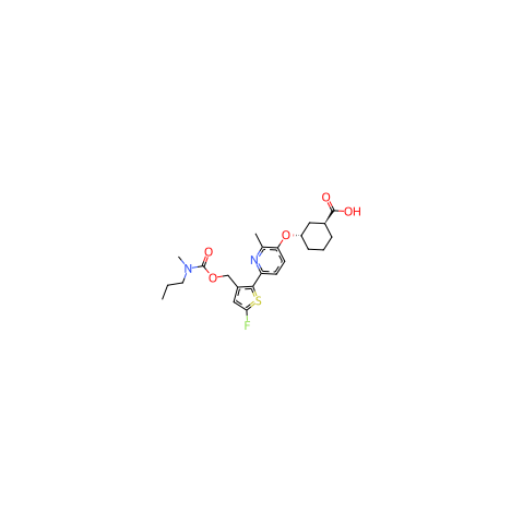 CCCN(C)C(=O)OCc1cc(F)sc1-c1ccc(O[C@H]2CCC[C@H](C(=O)O)C2)c(C)n1